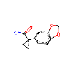 NC(=O)C1(c2ccc3c(c2)OCO3)CC1